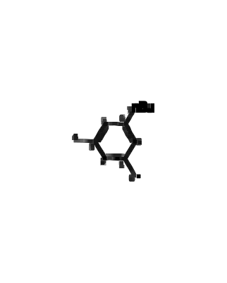 [CH2]c1cc(C)cc(CCCC)c1